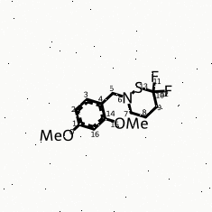 COc1ccc(CN2CCCC(F)(F)S2)c(OC)c1